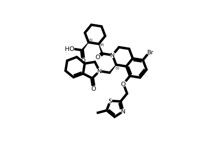 Cc1cnc(COc2ccc(Br)c3c2[C@@H](CN2CC4CCCC=C4C2=O)N(C(=O)[C@@H]2CCCC[C@@H]2C(=O)O)CC3)s1